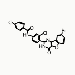 O=C(Nc1ccc(-c2nc3c(oc4ccc(Br)cc43)c(=O)[nH]2)c(Cl)c1)c1ccc(Cl)cc1